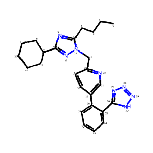 CCCCc1nc(C2CCCCC2)nn1Cc1ccc(-c2ccccc2-c2nnn[nH]2)cn1